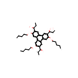 CCCCCOc1cc2c3cc(OCCCCC)c(C(O)CC)cc3c3cc(C(O)CC)c(OCCCCC)cc3c2cc1C(O)CC